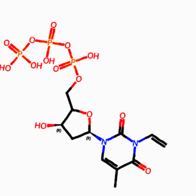 C=Cn1c(=O)c(C)cn([C@H]2C[C@@H](O)C(COP(=O)(O)OP(=O)(O)OP(=O)(O)O)O2)c1=O